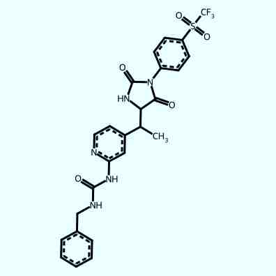 CC(c1ccnc(NC(=O)NCc2ccccc2)c1)C1NC(=O)N(c2ccc(S(=O)(=O)C(F)(F)F)cc2)C1=O